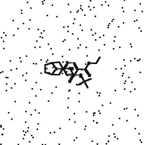 CCOC(=O)c1ccc(N2C3CCC2CC(NC(=O)OC(C)(C)C)C3)nc1